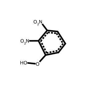 O=[N+]([O-])c1cccc(OO)c1[N+](=O)[O-]